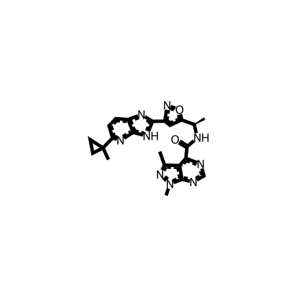 Cc1nn(C)c2ncnc(C(=O)N[C@H](C)c3cc(-c4nc5ccc(C6(C)CC6)nc5[nH]4)no3)c12